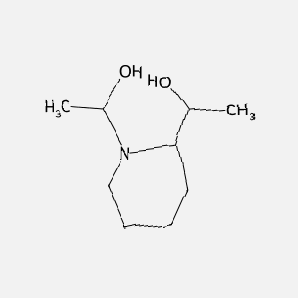 CC(O)C1CCCCN1C(C)O